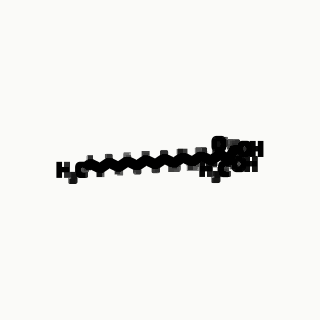 CCCCCCCCCCCCCCCC(=O)C(C)(O)CO